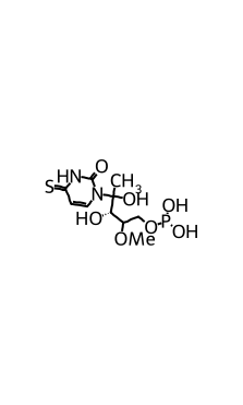 COC(COP(O)O)[C@H](O)C(C)(O)n1ccc(=S)[nH]c1=O